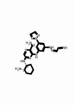 N=C/C=N\Nc1cc(Nc2nc(N[C@@H]3CCCC[C@@H]3N)cnc2C(N)=O)cc(-n2nccn2)c1